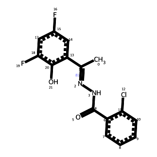 C/C(=N\NC(=O)c1ccccc1Cl)c1cc(F)cc(F)c1O